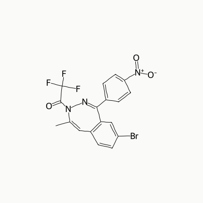 CC1=Cc2ccc(Br)cc2C(c2ccc([N+](=O)[O-])cc2)=NN1C(=O)C(F)(F)F